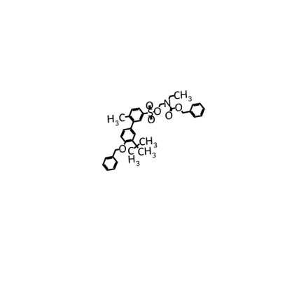 CCN(COS(=O)(=O)c1ccc(C)c(-c2ccc(OCc3ccccc3)c(C(C)(C)C)c2)c1)C(=O)OCc1ccccc1